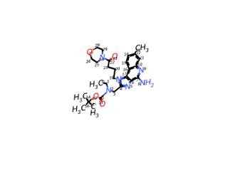 CCN(Cc1nc2c(N)nc3cc(C)ccc3c2n1CCCC(=O)N1CCOCC1)C(=O)OC(C)(C)C